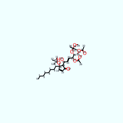 CCCCCCCCC1(O[Si](C)(C)C)C=CC(=O)C1C(O)C=C[C@H](OC(C)=O)[C@@H](COC(C)=O)OC(C)(C)OC